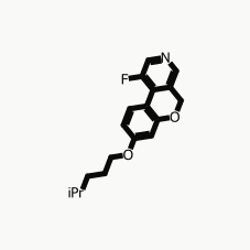 CC(C)CCCOc1ccc2c(c1)OCc1cncc(F)c1-2